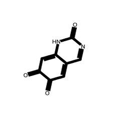 O=C1C=c2cnc(=O)[nH]c2=CC1=O